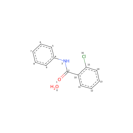 O.O=C(Nc1ccccc1)c1ccccc1Cl